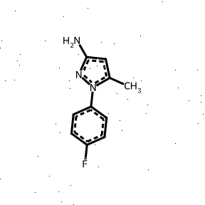 Cc1cc(N)nn1-c1ccc(F)cc1